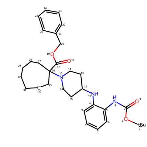 CC(C)(C)OC(=O)Nc1ccccc1NC1CCN(C2(C(=O)OCc3ccccc3)CCCCCCC2)CC1